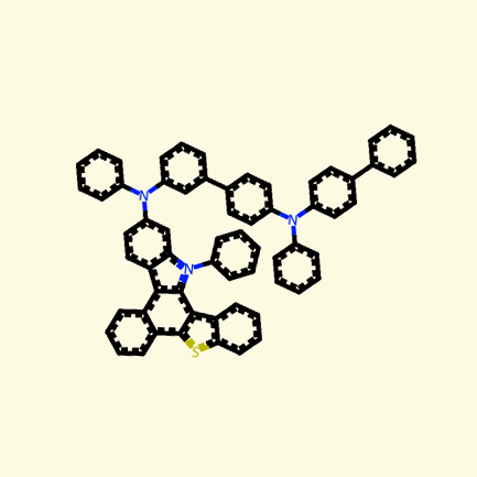 c1ccc(-c2ccc(N(c3ccccc3)c3ccc(-c4cccc(N(c5ccccc5)c5ccc6c7c8ccccc8c8sc9ccccc9c8c7n(-c7ccccc7)c6c5)c4)cc3)cc2)cc1